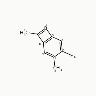 CC1=Bc2cc(F)c(C)cc21